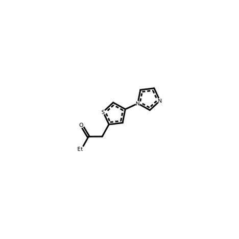 CCC(=O)Cc1cc(-n2ccnc2)cs1